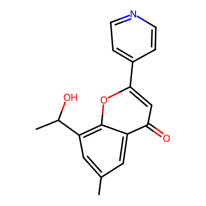 Cc1cc(C(C)O)c2oc(-c3ccncc3)cc(=O)c2c1